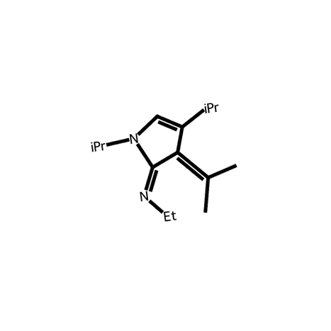 CC/N=C1\C(=C(C)C)C(C(C)C)=CN1C(C)C